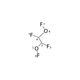 FOC(F)C(F)OF